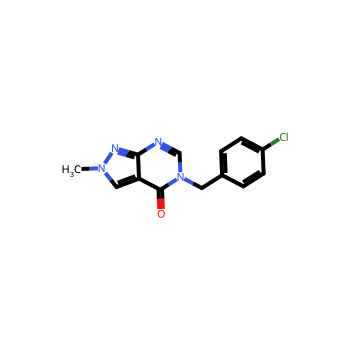 Cn1cc2c(=O)n(Cc3ccc(Cl)cc3)cnc2n1